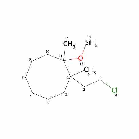 CC1(CCCl)CCCCCCC1(C)O[SiH3]